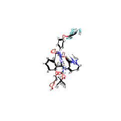 COCCOc1cccc2c(=O)n(-c3ccc(OC(F)(F)F)cc3)nc(N(C(=O)OC(C)(C)C)c3cccn(C)c3=O)c12